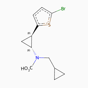 O=C(O)N(CC1CC1)[C@@H]1C[C@H]1c1ccc(Br)s1